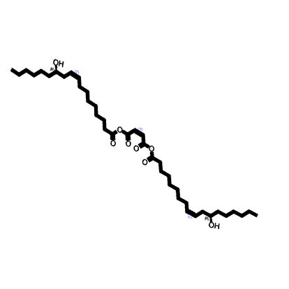 CCCCCC[C@@H](O)C/C=C\CCCCCCCC(=O)OC(=O)/C=C\C(=O)OC(=O)CCCCCCC/C=C\C[C@H](O)CCCCCC